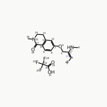 CN/C(=C/F)COc1ccc2c(c1)CCN(C)C2=O.O=C(O)C(F)(F)F